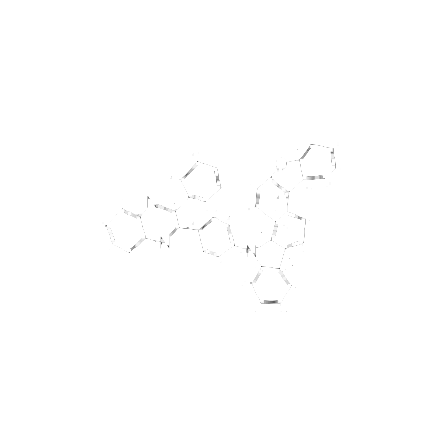 c1ccc(-c2nc3ccccc3nc2-c2ccc(-n3c4ccccc4c4ccc5c(ccc6oc7ccccc7c65)c43)cc2)cc1